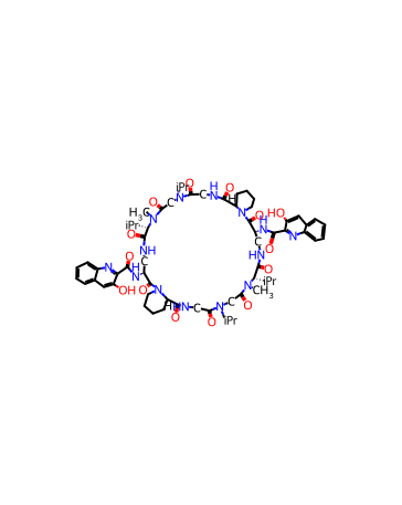 CC(C)[C@H]1C(=O)NC[C@@H](NC(=O)c2nc3ccccc3cc2O)C(=O)N2CCCC[C@H]2C(=O)NCC(=O)N(C(C)C)CC(=O)N(C)[C@@H](C(C)C)C(=O)NC[C@@H](NC(=O)c2nc3ccccc3cc2O)C(=O)N2CCCC[C@H]2C(=O)NCC(=O)N(C(C)C)CC(=O)N1C